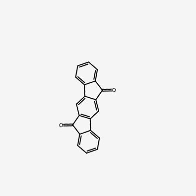 O=c1c2ccccc2c2cc3c(=O)c4ccccc4c3cc12